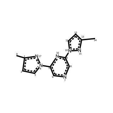 Cc1ccn(-c2cncc(-n3ccc(C)n3)n2)n1